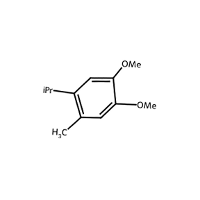 COc1cc(C)c(C(C)C)cc1OC